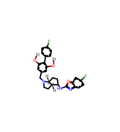 CCOc1cc(CN2CC[C@H]3C(Nc4nc5ccc(F)cc5o4)CC[C@H]32)cc(OCC)c1-c1ccc(F)cc1